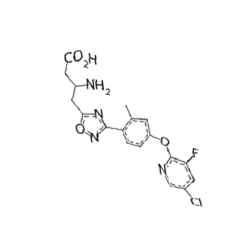 Cc1cc(Oc2ncc(Cl)cc2F)ccc1-c1noc(CC(N)CC(=O)O)n1